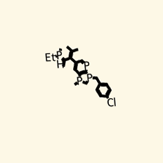 CC/[PH](C)=C(\C)C(=C(C)C)c1cpc2c(c1)P(C)CP2Cc1ccc(Cl)cc1